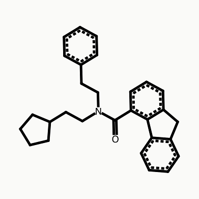 O=C(c1cccc2c1-c1ccccc1C2)N(CCc1ccccc1)CCC1CCCC1